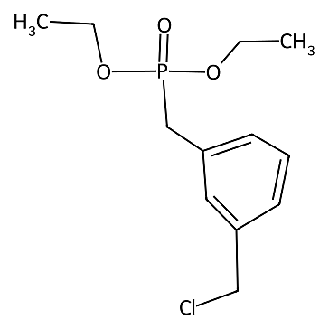 CCOP(=O)(Cc1cccc(CCl)c1)OCC